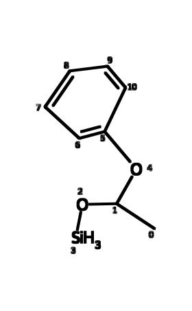 CC(O[SiH3])Oc1ccccc1